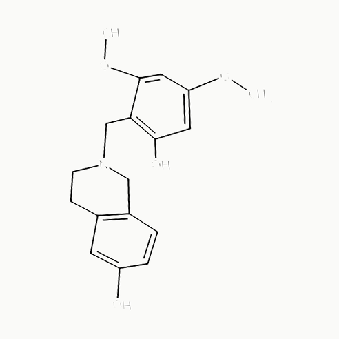 COc1cc(O)c(CN2CCc3cc(O)ccc3C2)c(OC)c1